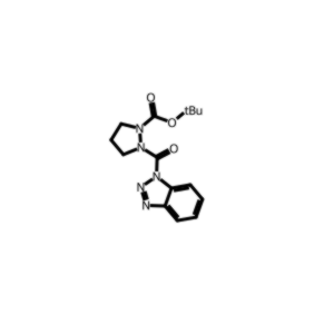 CC(C)(C)OC(=O)N1CCCN1C(=O)n1nnc2ccccc21